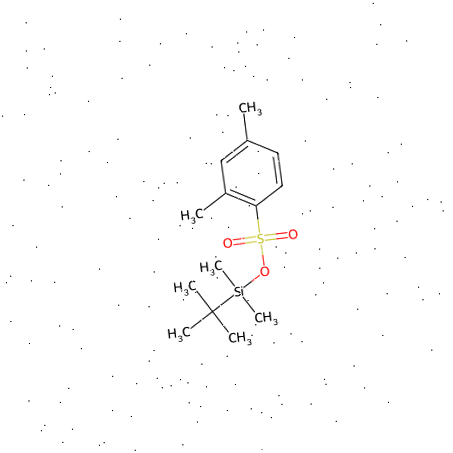 Cc1ccc(S(=O)(=O)O[Si](C)(C)C(C)(C)C)c(C)c1